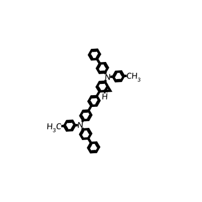 Cc1ccc(N(C2=CCC(c3ccccc3)C=C2)c2ccc(-c3ccc(C4=CC=C(N(c5ccc(C)cc5)c5ccc(-c6ccccc6)cc5)C5C[C@H]45)cc3)cc2)cc1